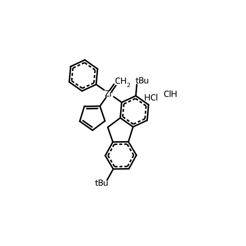 Cl.Cl.[CH2]=[Zr]([C]1=CC=CC1)([c]1ccccc1)[c]1c(C(C)(C)C)ccc2c1Cc1cc(C(C)(C)C)ccc1-2